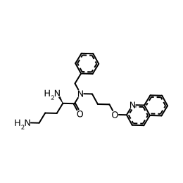 NCCC[C@@H](N)C(=O)N(CCCOc1ccc2ccccc2n1)Cc1ccccc1